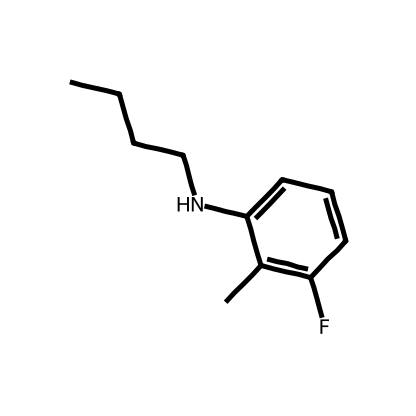 CCCCNc1cccc(F)c1C